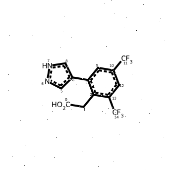 O=C(O)Cc1c(-c2cn[nH]c2)cc(C(F)(F)F)cc1C(F)(F)F